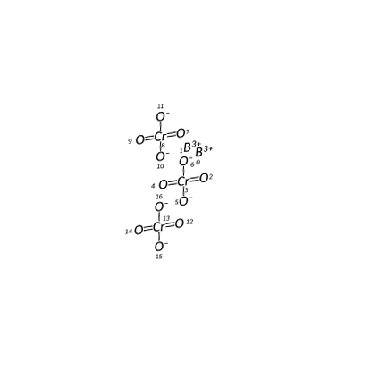 [B+3].[B+3].[O]=[Cr](=[O])([O-])[O-].[O]=[Cr](=[O])([O-])[O-].[O]=[Cr](=[O])([O-])[O-]